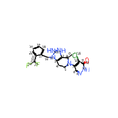 C[C@@H]1C2=C(CCN1c1cn[nH]c(=O)c1Cl)N(Cc1ccccc1C(F)F)NN2